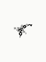 CC1(Cc2ccc(F)cc2)N=C(n2ccc(OCCC3CC3)cc2=O)SC1C(N)=O